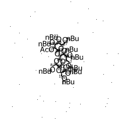 CCCCOCC1O[C@H](O[C@H](COCCCC)[C@@H](F)OC(COCCCC)[C@H](C)OCCCC)C(O[C@H]2OC(COCCCC)[C@@H](OCCCC)C(OCCCC)C2OC(C)=O)C(OCCCC)[C@@H]1OCCCC